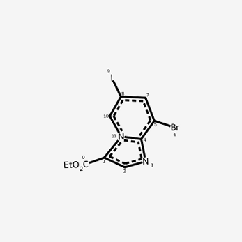 CCOC(=O)c1cnc2c(Br)cc(I)cn12